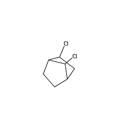 ClC1CC2CCC1C2Cl